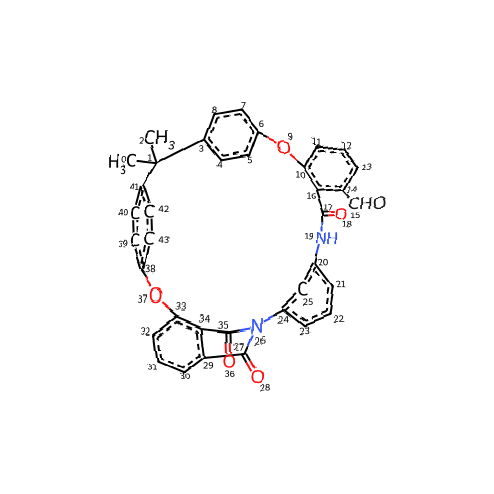 CC1(C)c2ccc(cc2)Oc2cccc(C=O)c2C(=O)Nc2cccc(c2)N2C(=O)c3cccc(c3C2=O)Oc2ccc1cc2